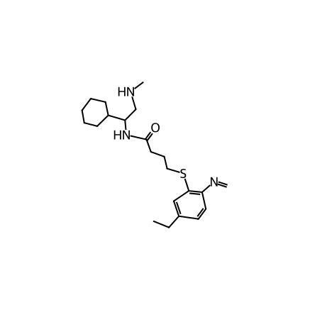 C=Nc1ccc(CC)cc1SCCCC(=O)NC(CNC)C1CCCCC1